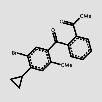 COC(=O)c1ccccc1C(=O)c1cc(Br)c(C2CC2)cc1OC